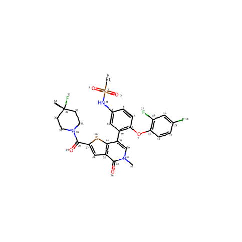 CCS(=O)(=O)Nc1ccc(Oc2ccc(F)cc2F)c(-c2cn(C)c(=O)c3cc(C(=O)N4CCC(C)(F)CC4)sc23)c1